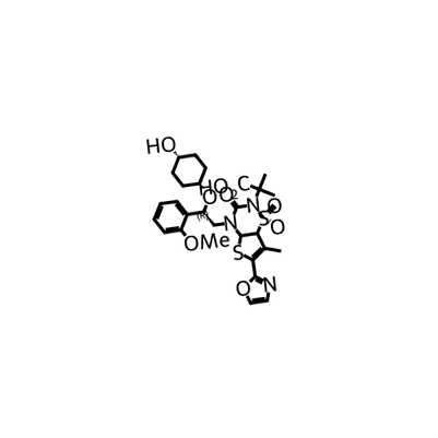 COc1ccccc1[C@H](CN1C(=O)N(C(C)(C)C(=O)O)S(=O)(=O)C2C(C)=C(c3ncco3)SC21)O[C@H]1CC[C@@H](O)CC1